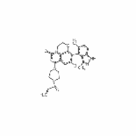 C=CC(=O)N1CCN(c2nc(=O)n3c4c(c(-c5c(C)ccc6[nH]nc(C)c56)c(Cl)cc24)OCC3)CC1